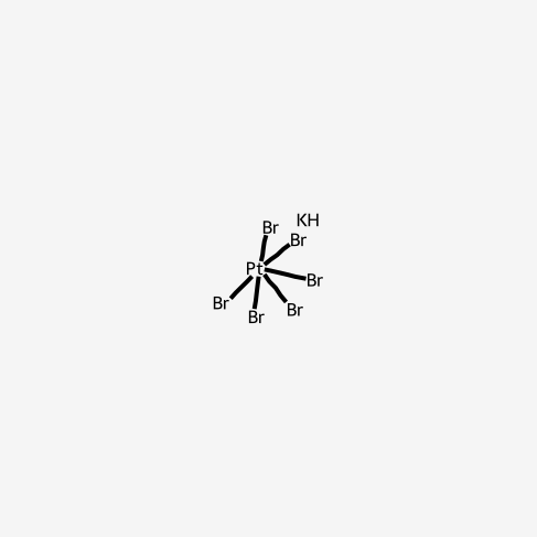 [Br][Pt]([Br])([Br])([Br])([Br])[Br].[KH]